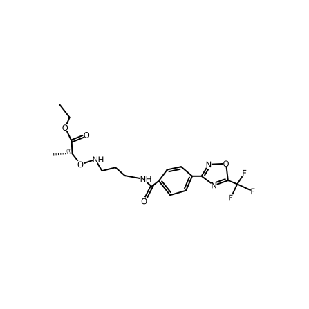 CCOC(=O)[C@@H](C)ONCCCNC(=O)c1ccc(-c2noc(C(F)(F)F)n2)cc1